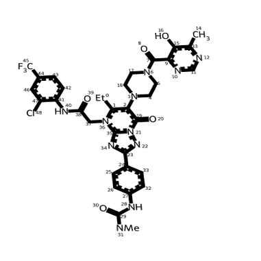 CCc1c(N2CCN(C(=O)c3ncnc(C)c3O)CC2)c(=O)n2nc(-c3ccc(NC(=O)NC)cc3)nc2n1CC(=O)Nc1ccc(C(F)(F)F)cc1Cl